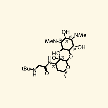 CN[C@@H]1[C@H](O)[C@H](NC)C2O[C@]3(O)C(OC2[C@@H]1O)O[C@H](C)C[C@H]3NC(=O)CNC(C)(C)C